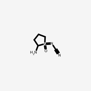 N#CN=S1(=O)CCCC1N